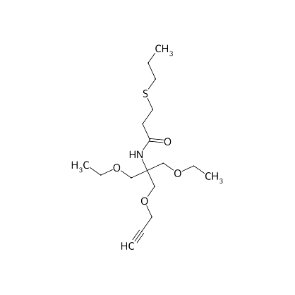 C#CCOCC(COCC)(COCC)NC(=O)CCSCCC